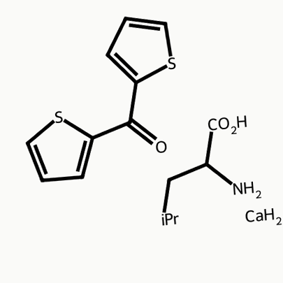 CC(C)CC(N)C(=O)O.O=C(c1cccs1)c1cccs1.[CaH2]